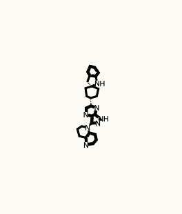 c1ccc2c(c1)C[C@]1(CC[C@@H](c3cnc4c(N5CCCc6ncccc65)n[nH]c4n3)CC1)N2